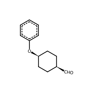 O=C[C@H]1CC[C@@H](Oc2ccccc2)CC1